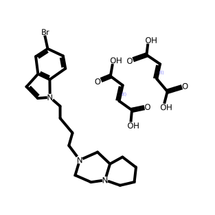 Brc1ccc2c(ccn2CCCCN2CCN3CCCCC3C2)c1.O=C(O)/C=C/C(=O)O.O=C(O)/C=C/C(=O)O